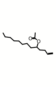 C=CCCC(CCCCCCCC)OC(C)=O